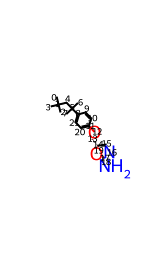 CC(C)(C)CC(C)(C)c1ccc(OC[C@@H]2CN=C(N)O2)cc1